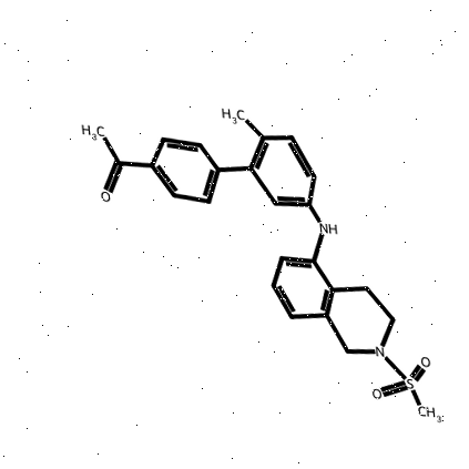 CC(=O)c1ccc(-c2cc(Nc3cccc4c3CCN(S(C)(=O)=O)C4)ccc2C)cc1